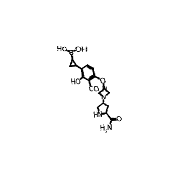 NC(=O)C1CC(N2CC(Oc3ccc(C4CC4B(O)O)c(O)c3C(=O)O)C2)CN1